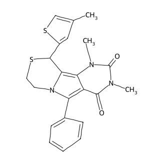 Cc1csc(C2SCCn3c(-c4ccccc4)c4c(=O)n(C)c(=O)n(C)c4c32)c1